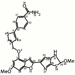 COc1cc(OCc2csc(-c3ccc(C(N)=O)cc3)n2)c2cc(-c3cn4c(n3)SC(OC)N4)oc2c1